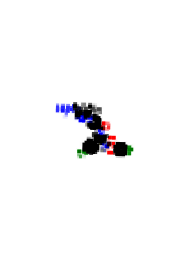 C=C(/N=C\C(=C/N)OC)N1CCC(C(=O)N2C[C@@H](N(C)C(=O)Oc3ccc(F)cc3)[C@H](c3ccc(Cl)cc3)C2)CC1